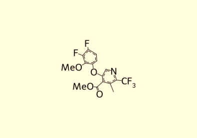 COC(=O)c1c(Oc2ccc(F)c(F)c2OC)cnc(C(F)(F)F)c1C